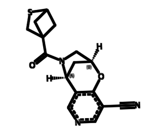 N#Cc1cncc2c1O[C@H]1C[C@@H]2N(C(=O)C23CSC(C2)C3)C1